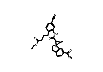 CCOC(=O)CCCc1ccc(C#N)cc1NC(=O)C1C(C)[C@]12CCc1ccc(C(=O)O)cc12